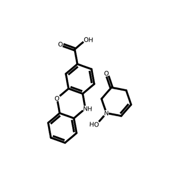 O=C(O)c1ccc2c(c1)Oc1ccccc1N2.O=C1CC=CN(O)C1